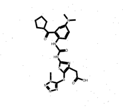 CN(C)c1ccc(NC(=O)Nc2nc(CC(=O)O)c(Sc3nnnn3C)s2)c(C(=O)C2CCCC2)c1